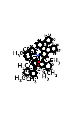 CC1(C)CCC(C)(C)c2c(-c3ccc(N(c4cc5c(cc4-c4cccc6c4C(C)(C)CCC6(C)C)-c4ccccc4C5(c4ccccc4)c4ccccc4)c4cccc5c4C(C)(C)CCC5(C)C)cc3)cccc21